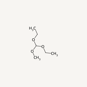 CCO[C](OC)OCC